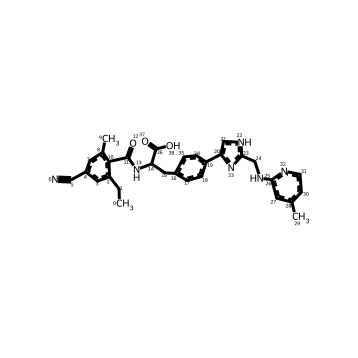 CCc1cc(C#N)cc(C)c1C(=O)NC(Cc1ccc(-c2c[nH]c(CNc3cc(C)ccn3)n2)cc1)C(=O)O